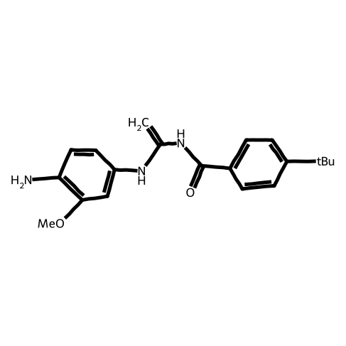 C=C(NC(=O)c1ccc(C(C)(C)C)cc1)Nc1ccc(N)c(OC)c1